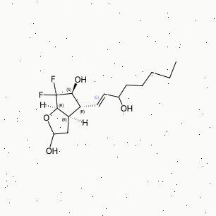 CCCCCC(O)/C=C/[C@@H]1[C@H]2CC(O)O[C@H]2C(F)(F)[C@H]1O